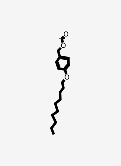 CCCCCCCCCCOc1ccc(CO[C]=O)cc1